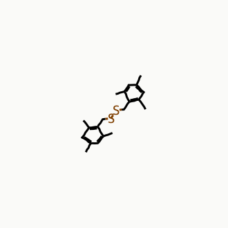 Cc1cc(C)c(CSSCc2c(C)cc(C)cc2C)c(C)c1